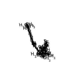 COC(=O)[C@@]1(OCCCCCCc2cn(CCOCCOCCOCCOCCNC(=O)OC(C)(C)C)nn2)C[C@H](OC(C)=O)[C@@H](NC(=O)COC(C)=O)[C@H]([C@H](OC(C)=O)[C@@H](CNC(=O)Cc2ccc(C(F)F)cc2)OC(C)=O)O1